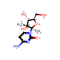 C[C@@]1(n2ccc(N)nc2=O)O[C@H](CO)[C@@H](O)[C@@]1(C)O